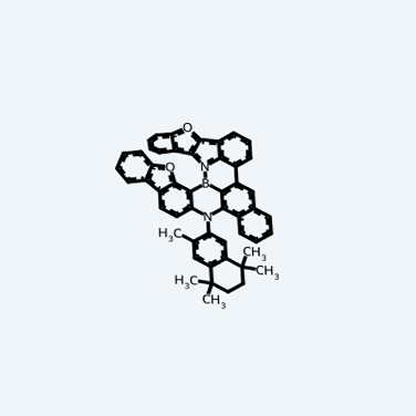 Cc1cc2c(cc1N1c3ccc4c(oc5ccccc54)c3B3c4c(cc5ccccc5c41)-c1cccc4c5oc6ccccc6c5n3c14)C(C)(C)CCC2(C)C